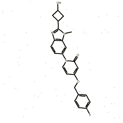 Cn1c(C2CC(O)C2)nc2ccc(-n3ccc(OCc4ccc(F)cc4)cc3=O)cc21